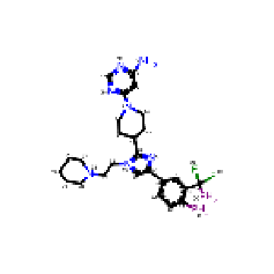 Nc1cc(N2CCC(c3nc(-c4ccc(P)c(C(F)(F)P)c4)cn3CCN3CCCCC3)CC2)ncn1